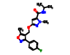 Cc1onc(-c2ccc(F)cc2)c1COc1cc(C(=O)NC(C)C)n(C)n1